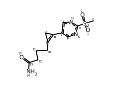 CS(=O)(=O)c1ncc(C2=C(CCCC(N)=O)C2)cn1